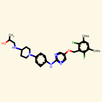 COc1cc(OC)c(F)c(COc2cnc(Nc3ccc(N4CCC(NCC(C)O)CC4)cc3)nc2)c1F